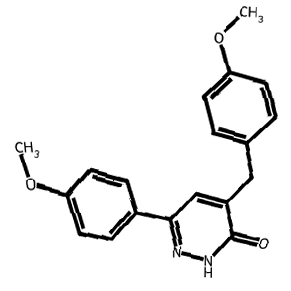 COc1ccc(Cc2cc(-c3ccc(OC)cc3)n[nH]c2=O)cc1